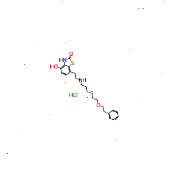 Cl.O=c1[nH]c2c(O)ccc(CCNCCCSCCOCCc3ccccc3)c2s1